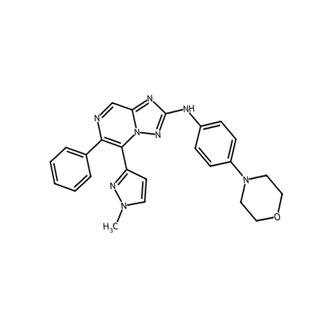 Cn1ccc(-c2c(-c3ccccc3)ncc3nc(Nc4ccc(N5CCOCC5)cc4)nn23)n1